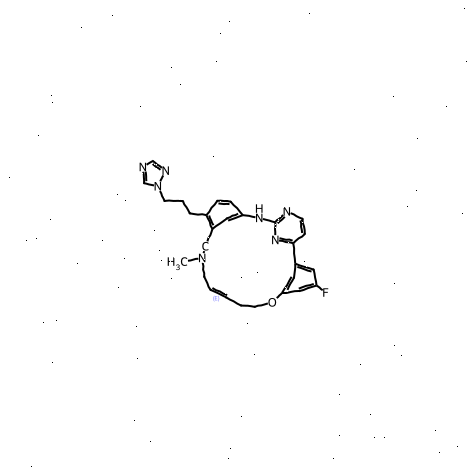 CN1C/C=C/CCOc2cc(F)cc(c2)-c2ccnc(n2)Nc2ccc(CCCn3cncn3)c(c2)C1